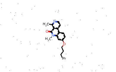 Cc1nccc2c1c(=O)n(C)c1cc(OCCCC(C)C)ccc21